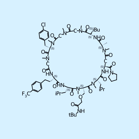 CC[C@H](C)[C@@H]1NC(=O)[C@H](C)N(C)C(=O)C[C@@H](C(=O)N2CCCC2)NC(=O)[C@H](CC(C)C)N(C)C(=O)[C@H](COCC(=O)NC(C)(C)C)N(C)C(=O)[C@H](CC(C)C)NC(=O)[C@H](CCc2ccc(C(F)(F)F)cc2)NC(=O)CN(C)C(=O)[C@H](Cc2ccc(Cl)cc2)N(C)C(=O)CN(C)C(=O)CN(C)C1=O